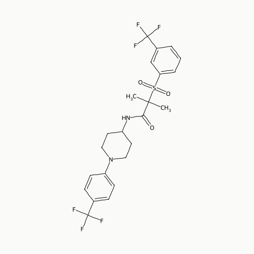 CC(C)(C(=O)NC1CCN(c2ccc(C(F)(F)F)cc2)CC1)S(=O)(=O)c1cccc(C(F)(F)F)c1